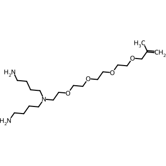 C=C(C)COCCOCCOCCOCCN(CCCCN)CCCCN